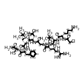 CC(C)(C)SC[C@H](NC(=O)[C@H](CC(=O)O)NC(=O)CNC(=O)[C@H](CCCNC(=N)N)NC(=O)C(NC(=O)[C@H](CCCCN)NC(=O)CCl)SC(C)(C)C)C(=O)N[C@@H](Cc1ccccc1)C(=O)N[C@@H](S)C(N)=O